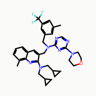 Cc1cc(CN(Cc2cc3cccc(C)c3nc2N(CC2CC2)CC2CC2)c2ncnc(N3CCOCC3)n2)cc(C(F)(F)F)c1